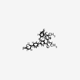 CCN1C(=O)c2nc(-c3ccc(-c4ccc(F)cc4)nc3)n(Cc3ccc(F)cc3)c2N2CC(C)(C)N=C12